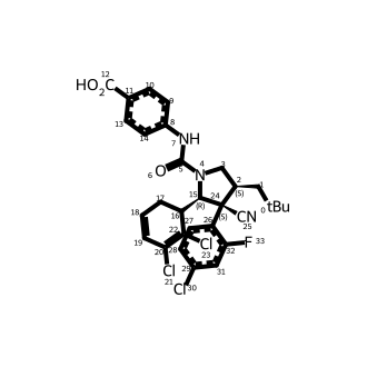 CC(C)(C)C[C@@H]1CN(C(=O)Nc2ccc(C(=O)O)cc2)[C@H](C2CC=CC(Cl)=C2Cl)[C@@]1(C#N)c1ccc(Cl)cc1F